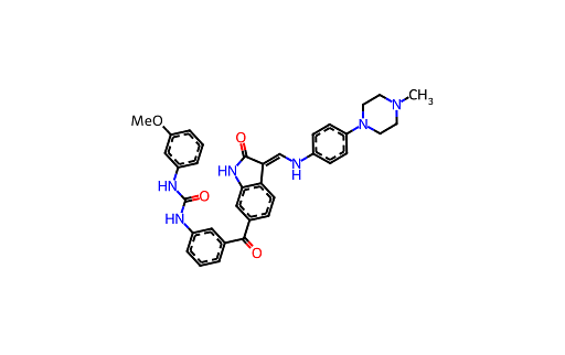 COc1cccc(NC(=O)Nc2cccc(C(=O)c3ccc4c(c3)NC(=O)/C4=C/Nc3ccc(N4CCN(C)CC4)cc3)c2)c1